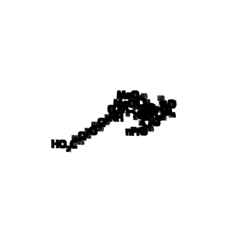 CCCOc1cc(OCCCCN(C)CC(=O)NCCOCCOCCOCCC(=O)O)cc(Oc2cc3c(cc2NS(=O)(=O)c2ccc(OC)c(OC)c2)n(C)c(=O)n3C)c1